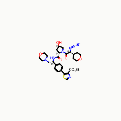 CCOC(=O)c1ncsc1-c1ccc([C@H](CN2CCOCC2)NC(=O)[C@@H]2C[C@@H](O)CN2C(=O)[C@@H](N=[N+]=[N-])C2CCOCC2)cc1